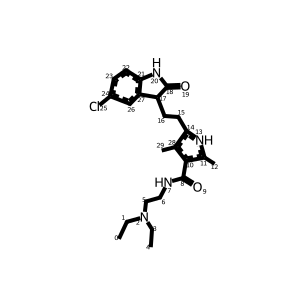 CCN(CC)CCNC(=O)c1c(C)[nH]c(CCC2C(=O)Nc3ccc(Cl)cc32)c1C